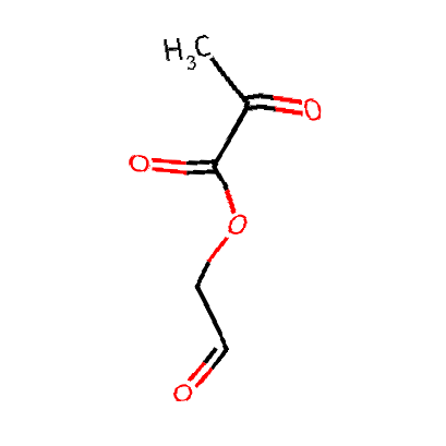 CC(=O)C(=O)OCC=O